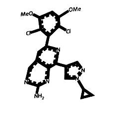 COc1cc(OC)c(Cl)c(-c2cc3cnc(N)nc3c(-c3cnn(C4CC4)c3)n2)c1Cl